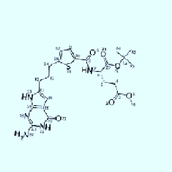 COC(=O)CC[C@H](NC(=O)c1ccc(CCCc2cc3c(=O)[nH]c(N)nc3[nH]2)s1)C(=O)OC(C)(C)C